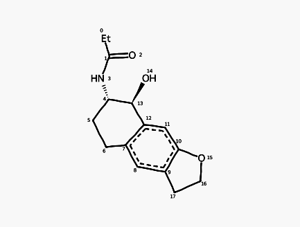 CCC(=O)N[C@H]1CCc2cc3c(cc2[C@@H]1O)OCC3